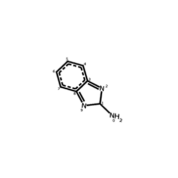 NC1N=c2ccccc2=N1